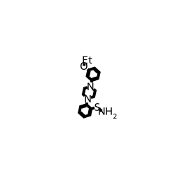 CCOc1cccc(N2CCN(c3ccccc3SN)CC2)c1